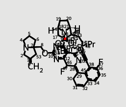 C=C1CN2CCCC2(COc2nc3c4c(n2)N2C[C@H]5CC[C@@H]([C@H]2CCOC4=NC(=C2CC=Cc4ccc(F)c(C#C[Si](C(C)C)(C(C)C)C(C)C)c42)C3F)N5C(=O)OC(C)(C)C)C1